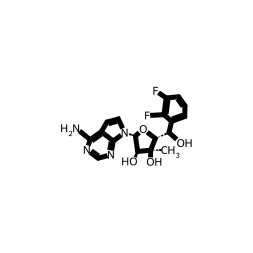 C[C@@]1(O)[C@@H](C(O)c2cccc(F)c2F)O[C@@H](n2ccc3c(N)ncnc32)[C@@H]1O